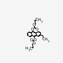 C=CCOC(=O)Oc1c2ccccc2c(OC(=O)OCC=C)c2cc(CC)ccc12